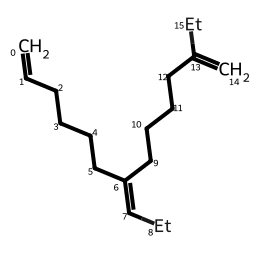 C=CCCCCC(=CCC)CCCCC(=C)CC